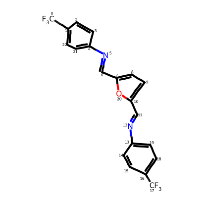 FC(F)(F)c1ccc(N=Cc2ccc(C=Nc3ccc(C(F)(F)F)cc3)o2)cc1